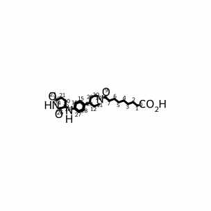 O=C(O)CCCCCCCC(=O)N1CCC(c2ccc(NC3CCC(=O)NC3=O)cc2)CC1